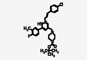 Cc1cc(C2=CC(CN3CCN(C(=O)OC(C)(C)C)CC3)=CN(CC=Cc3ccc(Cl)cc3)N2)ccc1F